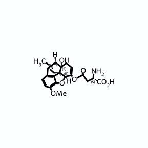 COc1ccc2c3c1O[C@H]1C(OC(=O)C[C@H](N)C(=O)O)=CC[C@@]4(O)[C@@H](C2)N(C)CC[C@]314